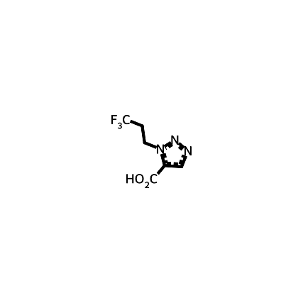 O=C(O)c1cnnn1CCC(F)(F)F